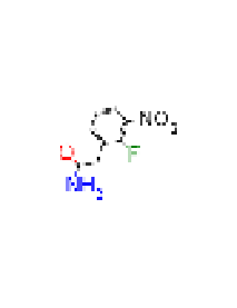 NC(=O)Cc1cccc([N+](=O)[O-])c1F